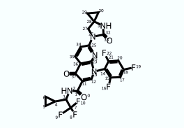 O=C(NC(C1CC1)C(F)(F)F)c1cn(-c2c(F)cc(F)cc2F)c2nc(N3CC4(CC4)NC3=O)ccc2c1=O